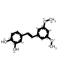 COc1cc(C=Cc2ccc(O)c(O)c2)cc(OC)c1